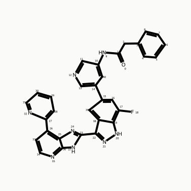 O=C(Cc1ccccc1)Nc1cncc(-c2cc(F)c3[nH]nc(-c4nc5c(-c6ccccn6)ccnc5[nH]4)c3c2)c1